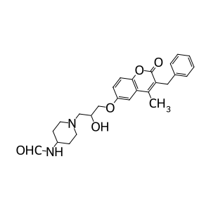 Cc1c(Cc2ccccc2)c(=O)oc2ccc(OCC(O)CN3CCC(NC=O)CC3)cc12